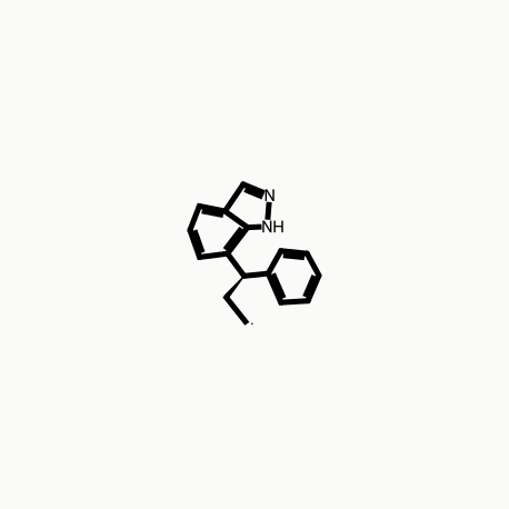 [CH2]C[C@H](c1ccccc1)c1cccc2cn[nH]c12